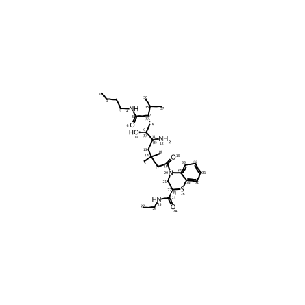 CCCCNC(=O)[C@@H](C[C@H](O)[C@@H](N)CC(C)(C)CC(=O)N1C[C@H](C(=O)NCC)Sc2ccccc21)C(C)C